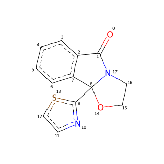 O=C1c2ccccc2C2(c3nccs3)OCCN12